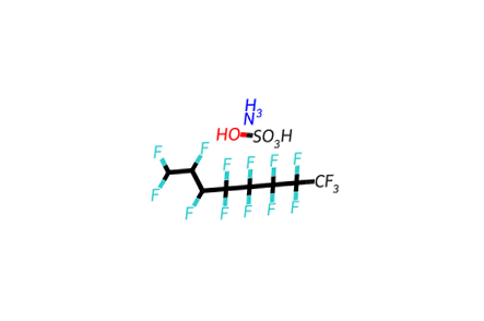 FC(F)C(F)C(F)C(F)(F)C(F)(F)C(F)(F)C(F)(F)C(F)(F)F.N.O=S(=O)(O)O